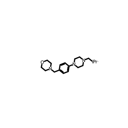 C[C](C)CN1CCN(c2ccc(CN3CCOCC3)cc2)CC1